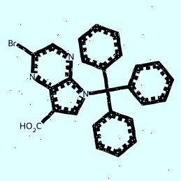 O=C(O)c1cn(C(c2ccccc2)(c2ccccc2)c2ccccc2)c2ncc(Br)nc12